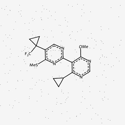 COc1ncnc(C2CC2)c1-c1ncc(C2(C(F)(F)F)CC2)c(SC)n1